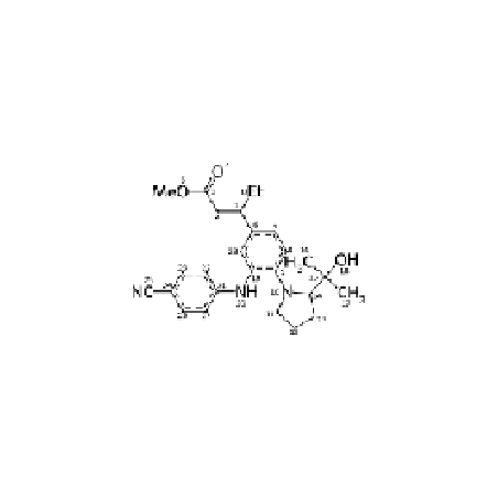 CCC(CC(=O)OC)c1ccc(N2CCCC2C(C)(C)O)c(Nc2ccc(C#N)cc2)c1